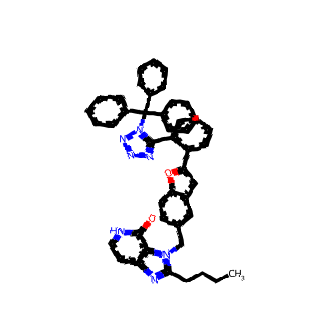 CCCCc1nc2cc[nH]c(=O)c2n1Cc1ccc2oc(-c3ccccc3-c3nnnn3C(c3ccccc3)(c3ccccc3)c3ccccc3)cc2c1